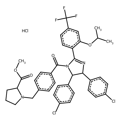 COC(=O)C1CCCN1Cc1ccc(C(=O)N2C(c3ccc(C(F)(F)F)cc3OC(C)C)=NC(c3ccc(Cl)cc3)C2c2ccc(Cl)cc2)cc1.Cl